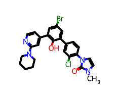 Cn1ccn(-c2ccc(-c3cc(Br)cc(-c4ccnc(N5CCCCC5)c4)c3O)cc2Cl)c1=O